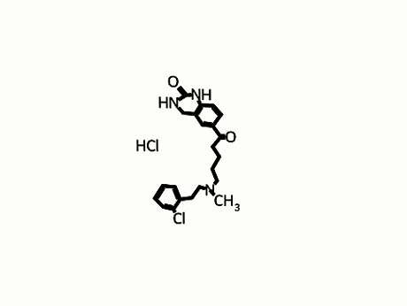 CN(CCCCC(=O)c1ccc2c(c1)CNC(=O)N2)CCc1ccccc1Cl.Cl